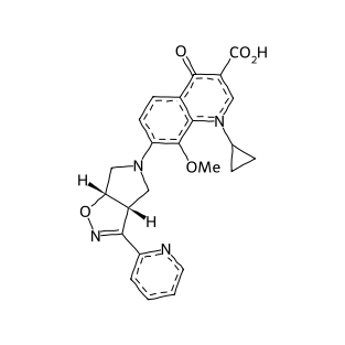 COc1c(N2C[C@@H]3C(c4ccccn4)=NO[C@@H]3C2)ccc2c(=O)c(C(=O)O)cn(C3CC3)c12